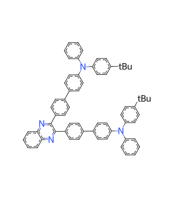 CC(C)(C)c1ccc(N(c2ccccc2)c2ccc(-c3ccc(-c4nc5ccccc5nc4-c4ccc(-c5ccc(N(c6ccccc6)c6ccc(C(C)(C)C)cc6)cc5)cc4)cc3)cc2)cc1